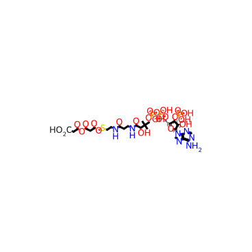 CC(C)(COP(=O)(O)OP(=O)(O)OC[C@H]1O[C@@H](n2cnc3c(N)ncnc32)[C@H](O)[C@@H]1OP(=O)(O)O)C(O)C(=O)NCCC(=O)NCCSOC(=O)CC(=O)OC(=O)CC(=O)O